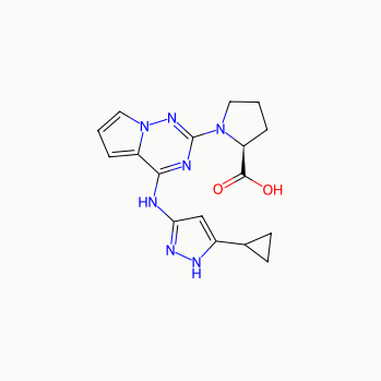 O=C(O)[C@@H]1CCCN1c1nc(Nc2cc(C3CC3)[nH]n2)c2cccn2n1